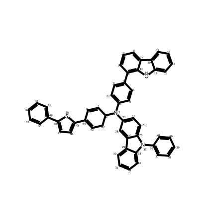 C1=CC(N(c2ccc(-c3cccc4c3oc3ccccc34)cc2)c2ccc3c(c2)c2ccccc2n3-c2ccccc2)CC=C1c1ccc(-c2ccccc2)s1